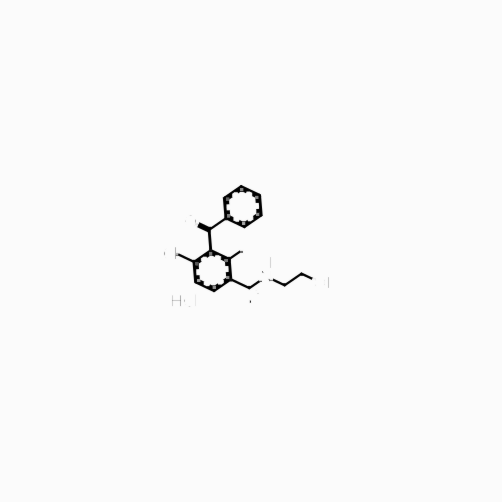 CC[C@@H](NCCO)c1ccc(Cl)c(C(=O)c2ccccc2)c1F.Cl